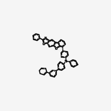 C1=CC(c2cccc(-c3ccc(N(c4ccccc4)c4ccc(-c5cccc6c5oc5cc7oc(-c8ccccc8)nc7cc56)cc4)cc3)c2)=CCC1